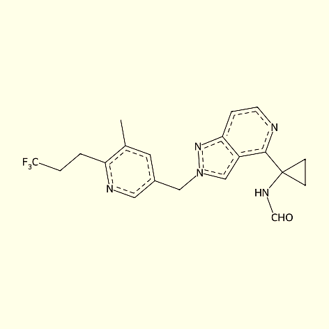 Cc1cc(Cn2cc3c(C4(NC=O)CC4)nccc3n2)cnc1CCC(F)(F)F